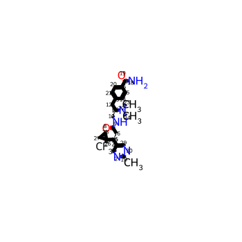 Cc1ncc([C@@H](CC(=O)NC[C@H](Cc2ccc(C(N)=O)cc2)N(C)C)C2(C(F)(F)F)CC2)cn1